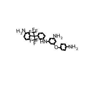 Nc1ccc(Oc2cc(N)cc(Nc3cccc(C(c4cccc(N)c4)(C(F)(F)F)C(F)(F)F)c3)c2)cc1